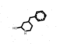 OC1CC(Cc2ccccc2)CCN1